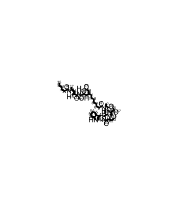 C=C(NC(=O)/C=C\C=C\CCCC1=CC(=O)OC(C(O)NC(=O)C(C)=CC(C)NC(=O)/C=C\C=C\C)C1)C(=O)NC(C(=O)N1C(=O)[C@@H](Cc2c[nH]c3ccccc23)N(C)C(=O)/C1=C/C)C(C)OC